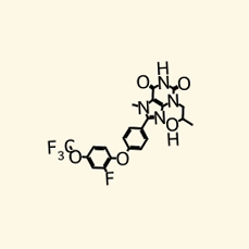 CC(O)Cn1c(=O)[nH]c(=O)c2c1nc(-c1ccc(Oc3ccc(OC(F)(F)F)cc3F)cc1)n2C